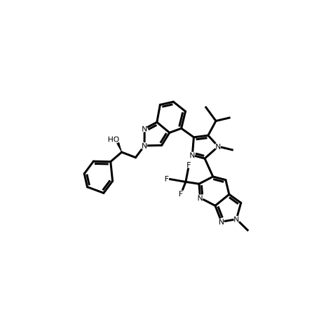 CC(C)c1c(-c2cccc3nn(C[C@H](O)c4ccccc4)cc23)nc(-c2cc3cn(C)nc3nc2C(F)(F)F)n1C